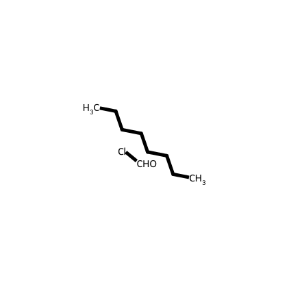 CCCCCCCC.O=CCl